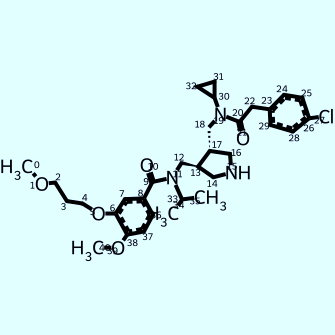 COCCCOc1cc(C(=O)N(C[C@@H]2CNC[C@H]2CN(C(=O)Cc2ccc(Cl)cc2)C2CC2)C(C)C)ccc1OC